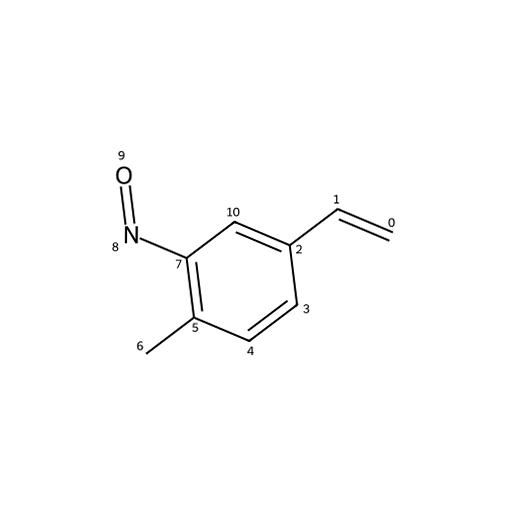 C=Cc1ccc(C)c(N=O)c1